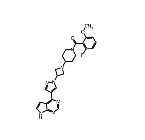 COc1cccc(F)c1C(=O)N1CCC(N2CC(n3cc(-c4ncnc5[nH]ccc45)cn3)C2)CC1